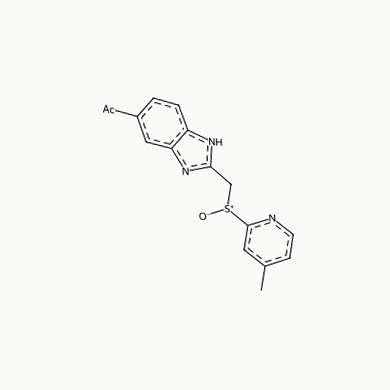 CC(=O)c1ccc2[nH]c(C[S+]([O-])c3cc(C)ccn3)nc2c1